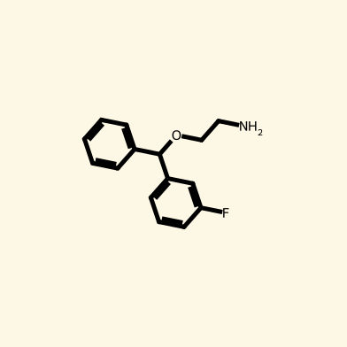 NCCOC(c1ccccc1)c1cccc(F)c1